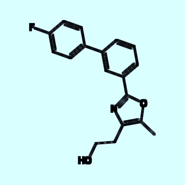 Cc1oc(-c2cccc(-c3ccc(F)cc3)c2)nc1CCO